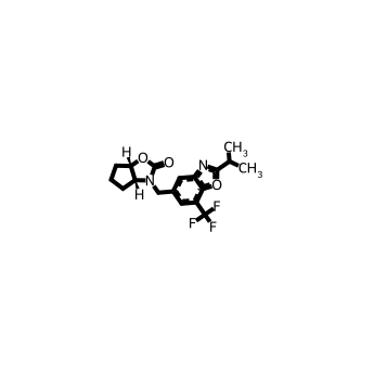 CC(C)c1nc2cc(CN3C(=O)O[C@H]4CCC[C@H]43)cc(C(F)(F)F)c2o1